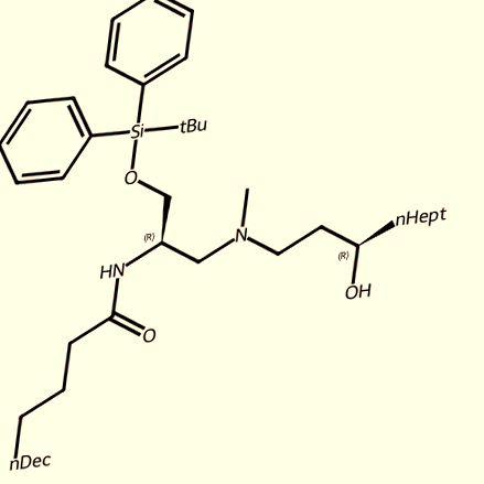 CCCCCCCCCCCCCC(=O)N[C@@H](CO[Si](c1ccccc1)(c1ccccc1)C(C)(C)C)CN(C)CC[C@H](O)CCCCCCC